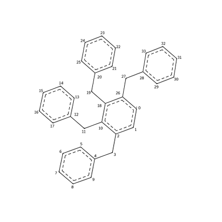 [c]1cc(Cc2ccccc2)c(Cc2ccccc2)c(Cc2ccccc2)c1Cc1ccccc1